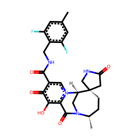 Cc1cc(F)c(CNC(=O)c2cn3c(c(O)c2=O)C(=O)N2C[C@@H]3[C@@]3(CC[C@@H]2C)CNC(=O)C3)c(F)c1